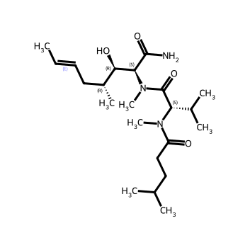 C/C=C/C[C@@H](C)[C@@H](O)[C@@H](C(N)=O)N(C)C(=O)[C@H](C(C)C)N(C)C(=O)CCC(C)C